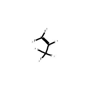 FC(F)=C(I)C(F)(F)I